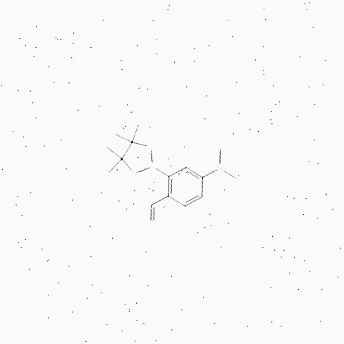 CN(C)c1ccc(C=O)c(B2OC(C)(C)C(C)(C)O2)c1